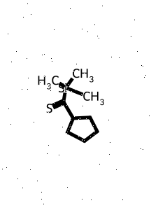 C[Si](C)(C)C(=S)C1CCCC1